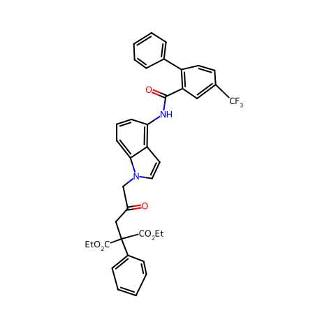 CCOC(=O)C(CC(=O)Cn1ccc2c(NC(=O)c3cc(C(F)(F)F)ccc3-c3ccccc3)cccc21)(C(=O)OCC)c1ccccc1